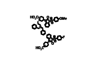 COc1ccc(S(=O)(=O)n2c(=O)n(C3CCN(C(=O)O)[C@@H](CCCN(Cc4ccccc4)Cc4ccccc4)C3)c3ccccc32)cc1.O=C(O)N1CCC(n2c(=O)n(S(=O)(=O)c3ccc(F)cc3)c3ccccc32)CC1